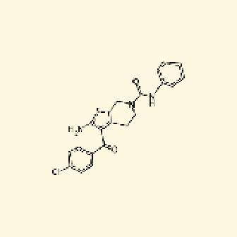 Nc1sc2c(c1C(=O)c1ccc(Cl)cc1)CCN(C(=O)Nc1ccccc1)C2